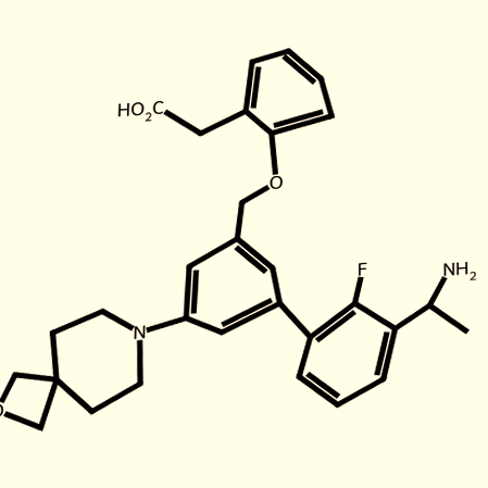 CC(N)c1cccc(-c2cc(COc3ccccc3CC(=O)O)cc(N3CCC4(CC3)COC4)c2)c1F